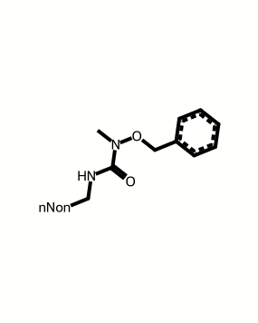 CCCCCCCCCCNC(=O)N(C)OCc1ccccc1